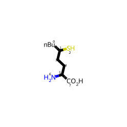 CCCCC(S)CCC(N)C(=O)O